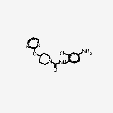 Nc1ccc(CNC(=O)N2CCC(Oc3ncccn3)CC2)c(Cl)c1